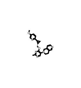 COc1ccc(C2C[C@@H]2COc2nc(C)ncc2N2CCc3cnccc3C2)nc1